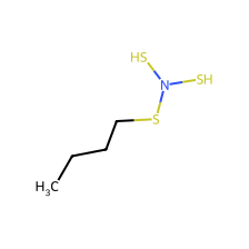 CCCCSN(S)S